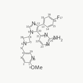 COc1ccc(CN2CC(n3cnc(-c4ccc(F)cc4)c3-c3ccnc(N)n3)C2)cn1